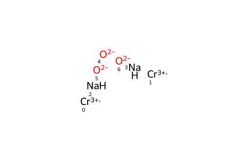 [Cr+3].[Cr+3].[NaH].[NaH].[O-2].[O-2].[O-2]